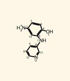 Nc1ccc(O)c(Nc2cccnc2)c1